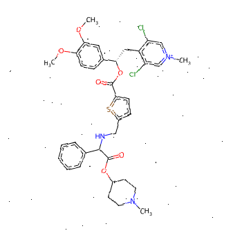 COc1ccc([C@H](Cc2c(Cl)c[n+](C)cc2Cl)OC(=O)c2ccc(CNC(C(=O)OC3CCN(C)CC3)c3ccccc3)s2)cc1OC